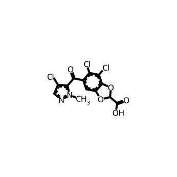 Cn1ncc(Cl)c1C(=O)c1cc2c(c(Cl)c1Cl)OC(C(=O)O)O2